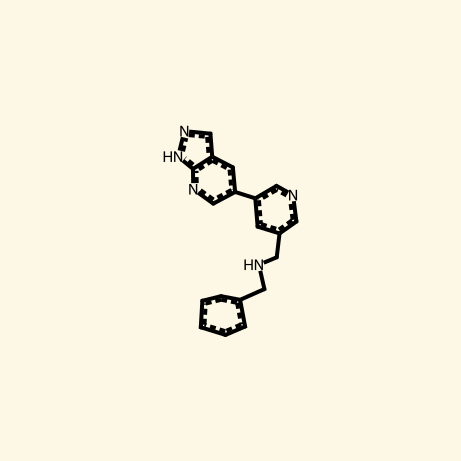 c1ccc(CNCc2cncc(-c3cnc4[nH]ncc4c3)c2)cc1